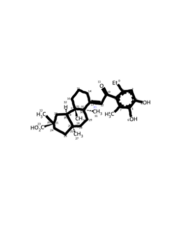 CCc1cc(O)c(O)c(C)c1C(=O)/C=C1\CCC[C@@]2(C)[C@@H]3C[C@](C)(C(=O)O)CC[C@]3(C)CC[C@]12C